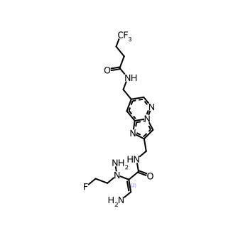 N/C=C(/C(=O)NCc1cn2ncc(CNC(=O)CCC(F)(F)F)cc2n1)N(N)CCF